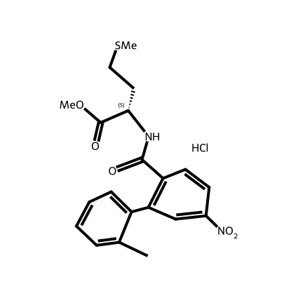 COC(=O)[C@H](CCSC)NC(=O)c1ccc([N+](=O)[O-])cc1-c1ccccc1C.Cl